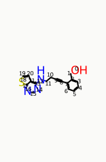 OCc1ccccc1C#CCCNc1ncnc2sccc12